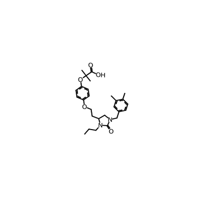 CCCN1C(=O)N(Cc2ccc(C)c(C)c2)CC1CCOc1ccc(OC(C)(C)C(=O)O)cc1